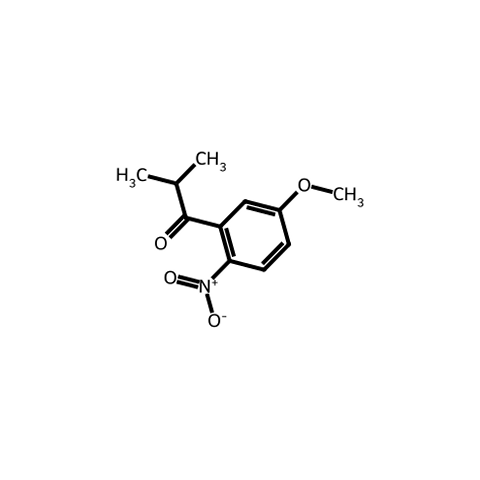 COc1ccc([N+](=O)[O-])c(C(=O)C(C)C)c1